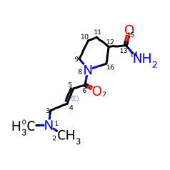 CN(C)C/C=C/C(=O)N1CCCC(C(N)=O)C1